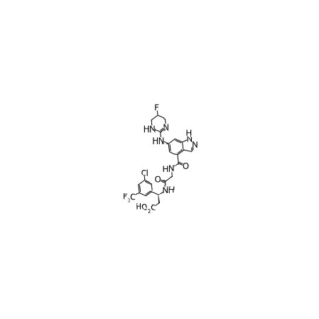 O=C(O)C[C@H](NC(=O)CNC(=O)c1cc(NC2=NCC(F)CN2)cc2[nH]ncc12)c1cc(Cl)cc(C(F)(F)F)c1